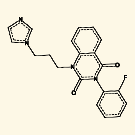 O=c1c2ccccc2n(CCCn2ccnc2)c(=O)n1-c1ccccc1F